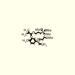 C=C(C)C(=O)OCCC[Si](OC)(OC)OC.C=C[SiH](OCCOC)c1ccc(C)cc1